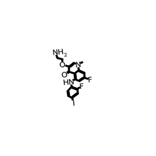 Cn1cc(OCCN)c(=O)c2c(Nc3ccc(I)cc3F)cc(F)cc21